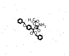 CC(=O)O[C@H]1[C@H](N)C(=O)N1C(C(=O)OCc1ccccc1)c1ccc(OCc2ccccc2)cc1